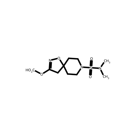 CN(C)S(=O)(=O)N1CCC2(CC1)CC(OC(=O)O)=NO2